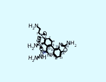 NCCS(=O)(=O)c1ccc(-c2cccc3oc(N)nc23)c(/C(N)=N/NN)c1S(N)(=O)=O